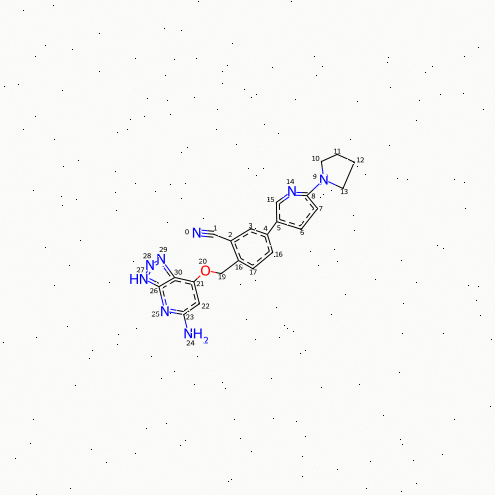 N#Cc1cc(-c2ccc(N3CCCC3)nc2)ccc1COc1cc(N)nc2[nH]nnc12